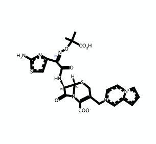 CC(C)(O/N=C(\C(=O)N[C@@H]1C(=O)N2C(C(=O)[O-])=C(Cn3cc[n+]4cccc-4c3)CS[C@@H]12)c1csc(N)n1)C(=O)O